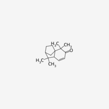 CC1(C)C2CCC3(C2)C1C=CC(=O)C3(C)C